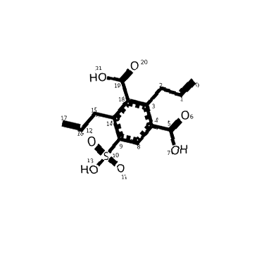 C=CCc1c(C(=O)O)cc(S(=O)(=O)O)c(CC=C)c1C(=O)O